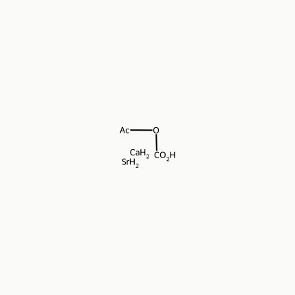 CC(=O)OC(=O)O.[CaH2].[SrH2]